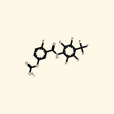 CC(=O)Oc1ccc(F)c(C(=O)Nc2c(F)c(F)c(C(F)(F)F)c(F)c2F)c1